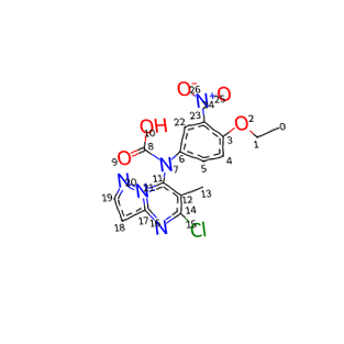 CCOc1ccc(N(C(=O)O)c2c(C)c(Cl)nc3ccnn23)cc1[N+](=O)[O-]